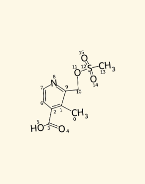 Cc1c(C(=O)O)ccnc1COS(C)(=O)=O